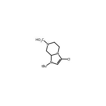 CC(C)(C)N1C=C(Cl)N2CCN(C(=O)O)CC21